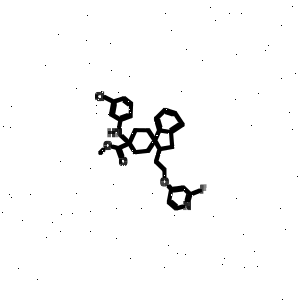 COC(=O)C1(Nc2cccc(Cl)c2)CCC2(CC1)c1ccccc1CC2CCOc1ccnc(F)c1